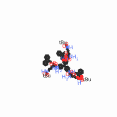 CC(C)(C)OC(=O)NCCCC[C@](N)(C(=O)Nc1ccc(C(c2ccc(NC(=O)[C@@](N)(CCCCNC(=O)OC(C)(C)C)C(=O)OCC3c4ccccc4-c4ccccc43)cc2)c2ccc(NC(=O)[C@@](N)(CCCCNC(=O)OC(C)(C)C)C(=O)OCC3c4ccccc4-c4ccccc43)cc2)cc1)C(=O)OCC1c2ccccc2-c2ccccc21